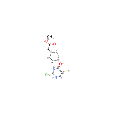 COC(=O)C[C@H]1CC[C@H](Oc2nc(Cl)ncc2F)CC1